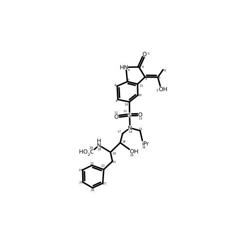 CC(O)=C1C(=O)Nc2ccc(S(=O)(=O)N(CC(C)C)CC(O)C(Cc3ccccc3)NC(=O)O)cc21